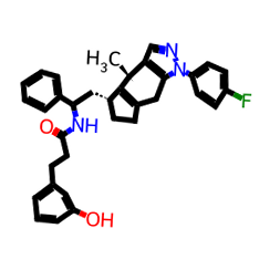 C[C@@H]1C2=C(CC[C@@H]2CC(NC(=O)CCc2cccc(O)c2)c2ccccc2)Cc2c1cnn2-c1ccc(F)cc1